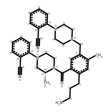 Cc1cc(CCCN)c(C(=O)N2CCN(c3ccccc3C#N)C[C@H]2C)cc1CN1CCN(c2ccccc2C#N)CC1